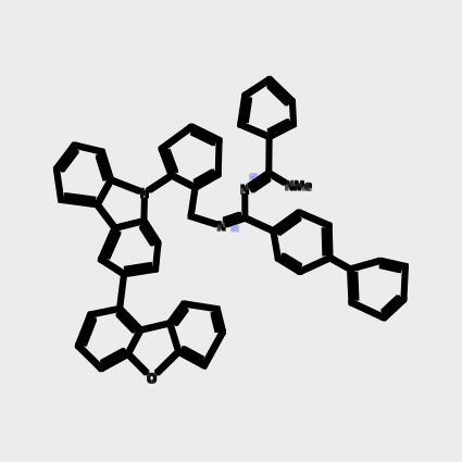 CN/C(=N\C(=N/Cc1ccccc1-n1c2ccccc2c2cc(-c3cccc4oc5ccccc5c34)ccc21)c1ccc(-c2ccccc2)cc1)c1ccccc1